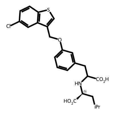 CC(C)C[C@H](NC(Cc1cccc(OCc2csc3ccc(Cl)cc23)c1)C(=O)O)C(=O)O